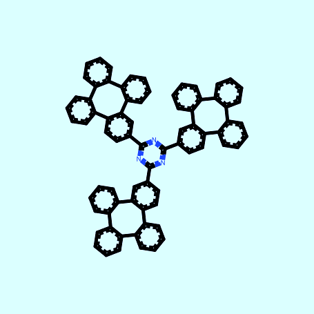 c1ccc2c(c1)-c1ccccc1-c1ccc(-c3nc(-c4ccc5c(c4)-c4ccccc4-c4ccccc4-c4ccccc4-5)nc(-c4ccc5c(c4)-c4ccccc4-c4ccccc4-c4ccccc4-5)n3)cc1-c1ccccc1-2